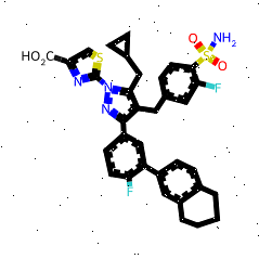 NS(=O)(=O)c1ccc(Cc2c(-c3ccc(F)c(-c4ccc5c(c4)CCCC5)c3)nn(-c3nc(C(=O)O)cs3)c2CC2CC2)cc1F